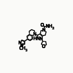 Cn1cc(-c2ccc3c(c2)CCCN3C2NN([C@H]3CCOC3)C3=C2CN(C(N)=O)CC3)cn1